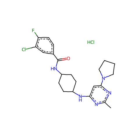 Cc1nc(NC2CCC(NC(=O)c3ccc(F)c(Cl)c3)CC2)cc(N2CCCC2)n1.Cl